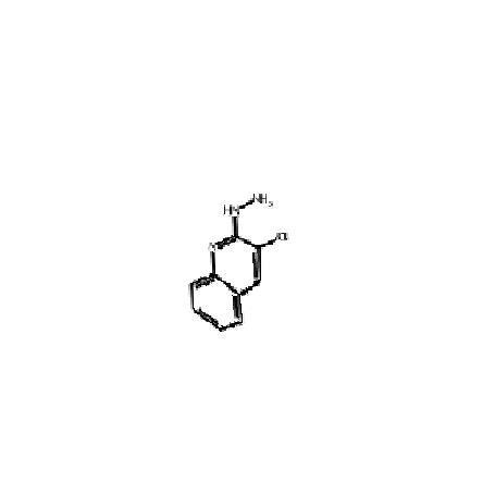 NNc1nc2ccccc2cc1Cl